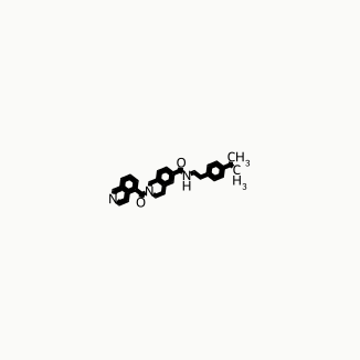 CC(C)c1ccc(CCNC(=O)c2ccc3c(c2)CCN(C(=O)c2cccc4cnccc24)C3)cc1